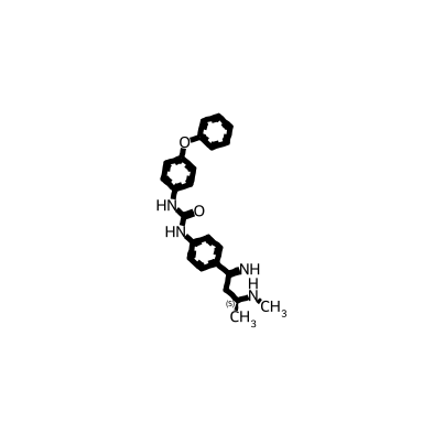 CN[C@@H](C)CC(=N)c1ccc(NC(=O)Nc2ccc(Oc3ccccc3)cc2)cc1